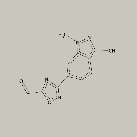 Cc1nn(C)c2cc(-c3noc(C=O)n3)ccc12